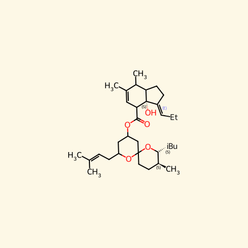 CC/C=C1\CCC2C(C)C(C)=CC(C(=O)OC3CC(CC=C(C)C)OC4(CC[C@H](C)C([C@@H](C)CC)O4)C3)[C@]12O